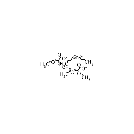 CCC[CH2][Sn+2][CH2]CCC.CCOC=C(OCC)C(=O)[O-].CCOC=C(OCC)C(=O)[O-]